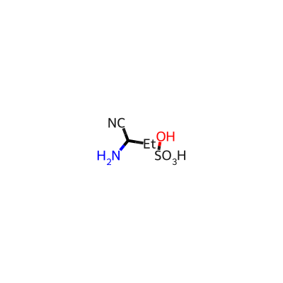 CCC(N)C#N.O=S(=O)(O)O